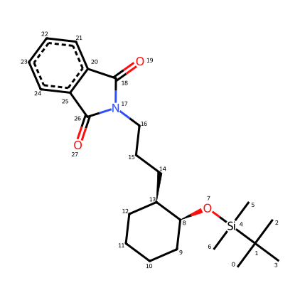 CC(C)(C)[Si](C)(C)O[C@H]1CCCC[C@H]1CCCN1C(=O)c2ccccc2C1=O